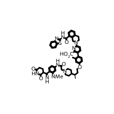 CNc1cc(NC(=O)CN2CCC([C@H](C)CCOc3ccc(-c4ccc(N5CCc6cccc(C(=O)Nc7nc8ccccc8s7)c6C5)nc4C(=O)O)c(C)c3)CC2)ccc1C(=N)C1CCC(=O)NC1=O